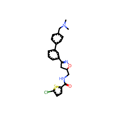 CN(C)Cc1ccc(-c2cccc(C3=NOC(CNC(=O)c4ccc(Cl)s4)C3)c2)cc1